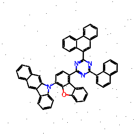 c1ccc2cc3c(cc2c1)c1ccccc1n3-c1ccc(-c2nc(-c3cccc4ccccc34)nc(-c3cc4ccccc4c4ccccc34)n2)c2c1oc1ccccc12